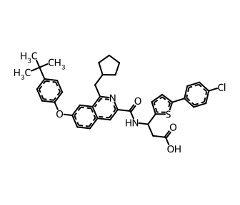 CC(C)(C)c1ccc(Oc2ccc3cc(C(=O)NC(CC(=O)O)c4ccc(-c5ccc(Cl)cc5)s4)nc(CC4CCCC4)c3c2)cc1